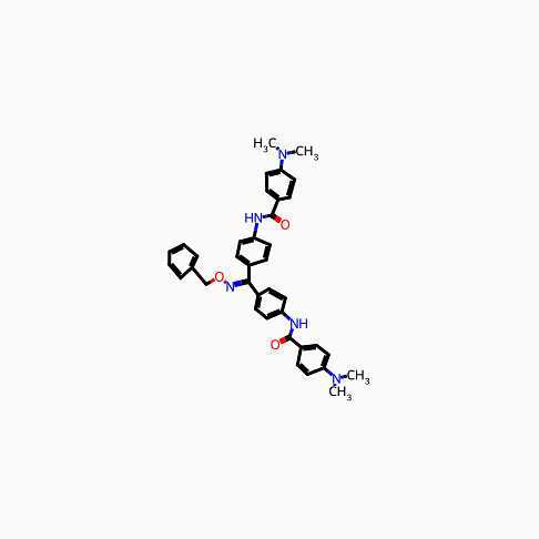 CN(C)c1ccc(C(=O)Nc2ccc(C(=NOCc3ccccc3)c3ccc(NC(=O)c4ccc(N(C)C)cc4)cc3)cc2)cc1